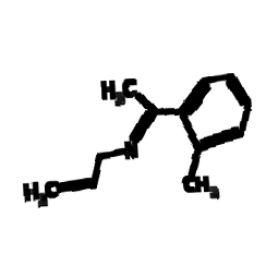 C=CCN=C(C)c1ccccc1C